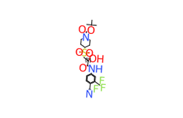 CC(C)(C)OC(=O)N1CCC(S(=O)(=O)C[C@H](O)C(=O)Nc2ccc(C#N)c(C(F)(F)F)c2)CC1